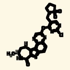 C[C@@H]1CNc2c(sc3ccc4nc(Oc5nc(Cl)ncc5CN5CCCS5(=O)=O)cnc4c23)C(=O)N1